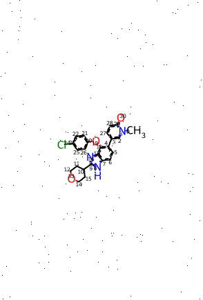 Cn1cc(-c2ccc3[nH]c(C4CCOCC4)nc3c2Oc2ccc(Cl)cc2)ccc1=O